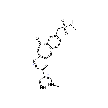 C=C(/C=N\c1ccc2ccc(CS(=O)(=O)NC)cc2c(=O)c1)/C(C=N)=C/NC